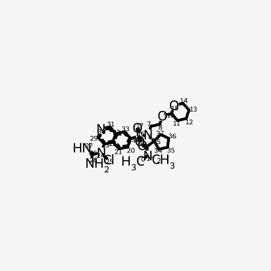 CN(C)C(=O)C1(N(CCOC2CCCCO2)S(=O)(=O)c2ccc3c(N(Cl)C(=N)N)cncc3c2)CCCC1